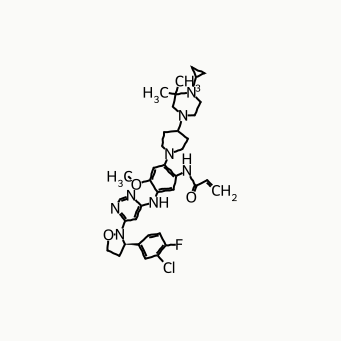 C=CC(=O)Nc1cc(Nc2cc(N3OCC[C@@H]3c3ccc(F)c(Cl)c3)ncn2)c(OC)cc1N1CCC(N2CCN(C3CC3)C(C)(C)C2)CC1